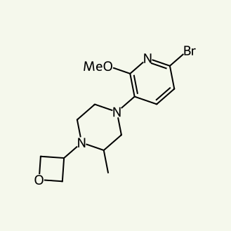 COc1nc(Br)ccc1N1CCN(C2COC2)C(C)C1